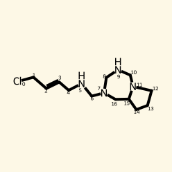 ClC/C=C/CNCN1CNCN2CCCC2C1